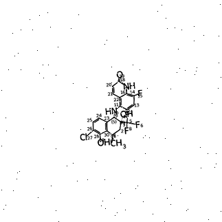 C[C@@H]1C[C@](O)(C(F)(F)F)[C@@H](Nc2ccc(F)c3[nH]c(=O)ccc23)c2ccc(Cl)c(O)c21